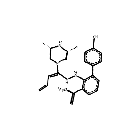 C=C/C=C(\NNc1c(C(=C)OC)cccc1-c1ccc(C#N)cc1)N1C[C@@H](C)N[C@@H](C)C1